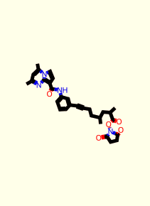 Cc1cc(C)n2ccc(C(=O)Nc3cccc(C#CCCC(C)CC(C)C(=O)ON4C(=O)CCC4=O)c3)c2n1